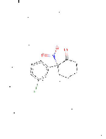 O=C1CCCCC1(c1cccc(Cl)c1)[N+](=O)[O-]